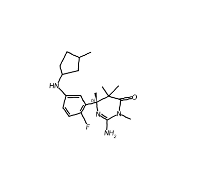 CC1CCC(Nc2ccc(F)c([C@@]3(C)N=C(N)N(C)C(=O)C3(C)C)c2)C1